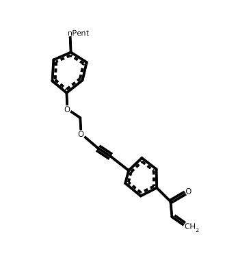 C=CC(=O)c1ccc(C#COCOc2ccc(CCCCC)cc2)cc1